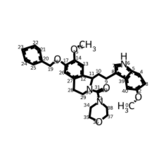 COc1ccc2[nH]cc(CCC3c4cc(OC)c(OCc5ccccc5)cc4CCN3C(=O)N3CCOCC3)c2c1